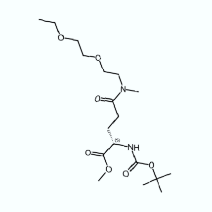 CCOCCOCCN(C)C(=O)CC[C@H](NC(=O)OC(C)(C)C)C(=O)OC